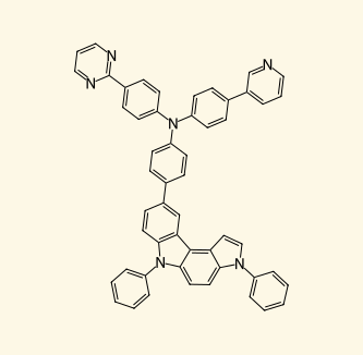 c1ccc(-n2ccc3c4c5cc(-c6ccc(N(c7ccc(-c8cccnc8)cc7)c7ccc(-c8ncccn8)cc7)cc6)ccc5n(-c5ccccc5)c4ccc32)cc1